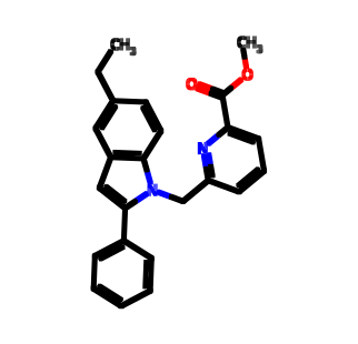 CCc1ccc2c(c1)cc(-c1ccccc1)n2Cc1cccc(C(=O)OC)n1